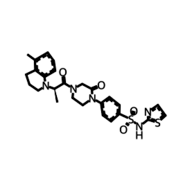 Cc1cccc2c1CCCN2[C@H](C)C(=O)N1CCN(c2ccc(S(=O)(=O)Nc3nccs3)cc2)C(=O)C1